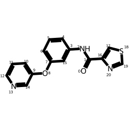 O=C(Nc1cccc(Oc2cccnc2)c1)c1cscn1